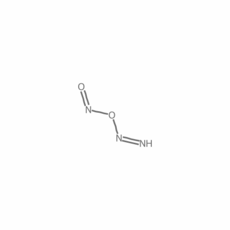 N=NON=O